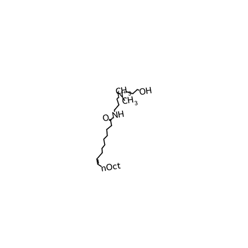 CCCCCCCC/C=C\CCCCCCCC(=O)NCCC[N+](C)(C)CCCO